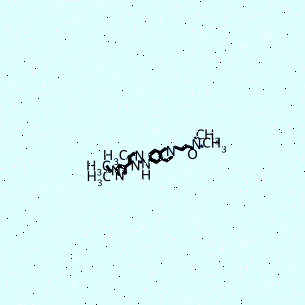 CCN(CC)C(=O)/C=C/CN1CCc2cc(Nc3ncc(C)c(-c4cnn(C(C)C)c4)n3)ccc2C1